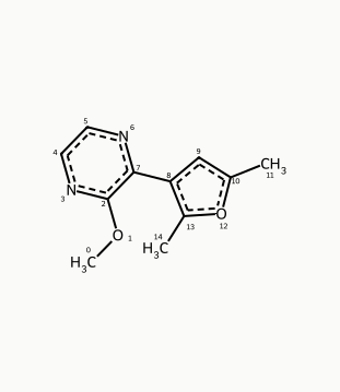 COc1nccnc1-c1cc(C)oc1C